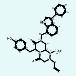 C=CCN1CC(=O)N2C(Cc3ccc(O)cc3)C(=O)N(Cc3cccc4c(-c5ccccc5)c[nH]c34)CC2N1C(=O)O